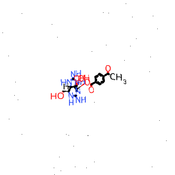 CC(=O)c1ccc(C(=O)O[C@H]2CN3C(=N)N[C@@H](CO)[C@@H]4NC(=N)N[C@@]43C2(O)O)cc1